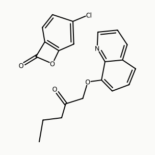 CCCC(=O)COc1cccc2cccnc12.O=C1Oc2cc(Cl)ccc21